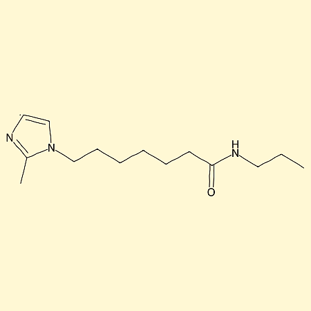 CCCNC(=O)CCCCCCn1c[c]nc1C